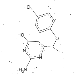 CC(Oc1ccc(Cl)cc1)c1cc(O)nc(N)n1